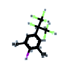 Cc1cc(C(F)(C(F)(F)F)C(F)(F)F)cc(C)c1I